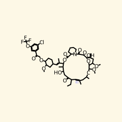 CCC1/C=C(\C)CC(C)CC(OC)C2OC(O)(C(=O)C(=O)N3CCCCC3C(=O)OC(C(C)=CC3CCC(OCC(=O)c4cc(Cl)cc(OC(F)(F)F)c4)C(OC)C3)C(C)C(O)CC1=O)C(C)CC2OC